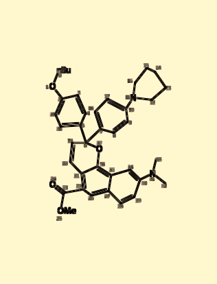 CCCCOc1ccc(C2(c3ccc(N4CCCCC4)cc3)C=Cc3c(C(=O)OC)cc4ccc(N(C)C)cc4c3O2)cc1